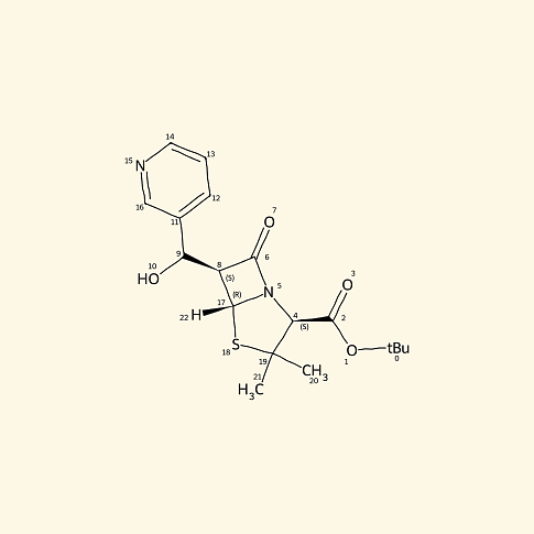 CC(C)(C)OC(=O)[C@@H]1N2C(=O)[C@H](C(O)c3cccnc3)[C@H]2SC1(C)C